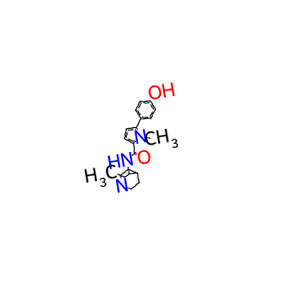 CC1C(NC(=O)c2ccc(-c3ccc(O)cc3)n2C)C2CCN1CC2